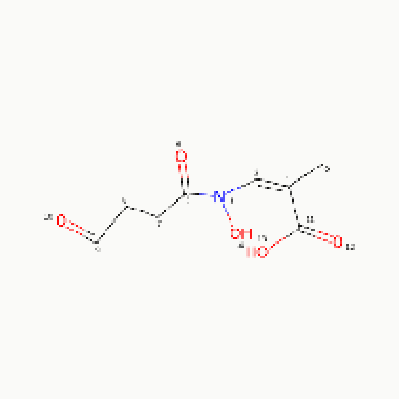 CC(=CN(O)C(=O)CCC=O)C(=O)O